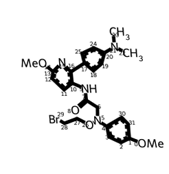 COc1ccc(N(CC(=O)Nc2ccc(OC)nc2-c2ccc(N(C)C)cc2)OCCBr)cc1